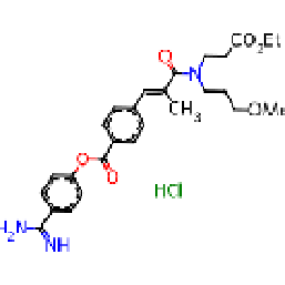 CCOC(=O)CCN(CCCOC)C(=O)/C(C)=C/c1ccc(C(=O)Oc2ccc(C(=N)N)cc2)cc1.Cl